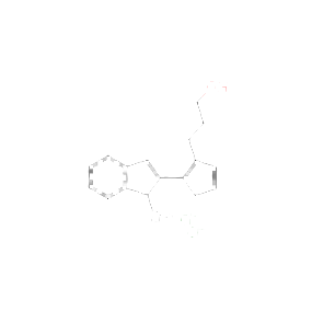 OCCCC1=C(C2=Cc3ccccc3[CH]2[Zr+2])CC=C1.[Cl-].[Cl-]